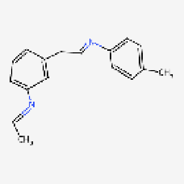 C/C=N/c1cccc(C/C=N/c2ccc(C)cc2)c1